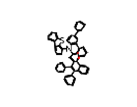 c1ccc(-c2ccc(N(c3ccc4c(c3)c(-c3ccccc3)c(-c3ccccc3)c3ccccc34)c3cccc4c3sc3ccccc34)c(-c3ccccc3)c2)cc1